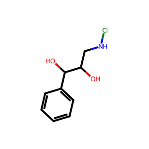 OC(CNCl)C(O)c1ccccc1